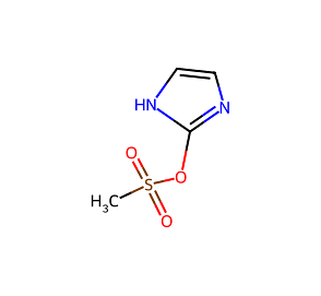 CS(=O)(=O)Oc1ncc[nH]1